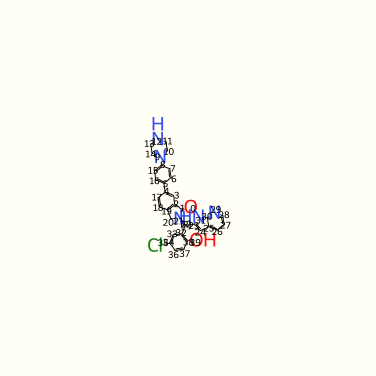 O=C1c2cc(-c3ccc(N4CCNCC4)cc3)ccc2CN1[C@@H](c1cc2cccnc2[nH]1)c1cc(Cl)ccc1O